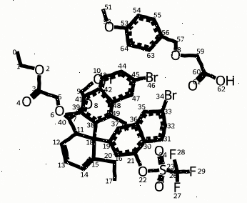 CCOC(=O)COC(OCO)C1C=CC=C(CC)C1(c1cc(OS(=O)(=O)C(F)(F)F)c2ccc(Br)cc2c1)c1c(C)cc2ccc(Br)cc2c1C.COc1ccc(COCC(=O)O)cc1